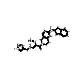 N=N/C(=C\NCc1c[nH]nn1)C(=O)N1CCc2nc(NC3Cc4ccccc4C3)ncc2C1